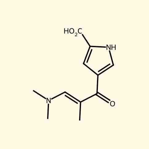 CC(=CN(C)C)C(=O)c1c[nH]c(C(=O)O)c1